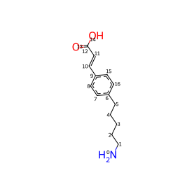 NCCCCCc1ccc(C=CC(=O)O)cc1